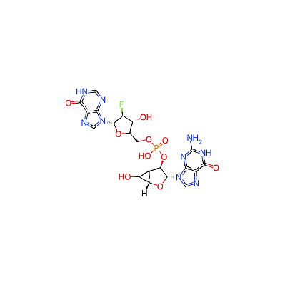 Nc1nc2c(ncn2[C@@H]2O[C@@H]3C(O)C3[C@H]2OP(=O)(O)OC[C@H]2O[C@H](n3cnc4c(=O)[nH]cnc43)[C@@H](F)[C@@H]2O)c(=O)[nH]1